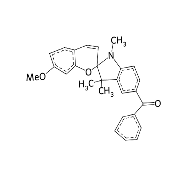 COc1ccc2c(c1)OC1(C=C2)N(C)c2ccc(C(=O)c3ccccc3)cc2C1(C)C